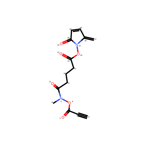 C#CC(=O)ON(C)C(=O)CCCC(=O)ON1C(=C)C=CC1=O